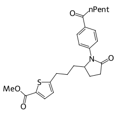 CCCCCC(=O)c1ccc(N2C(=O)CCC2CCCc2ccc(C(=O)OC)s2)cc1